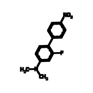 CN(C)c1ccc(-c2ccc([N+](=O)[O-])cc2)c(F)c1